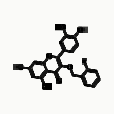 O=c1c(OCc2ccccc2F)c(-c2ccc(O)c(O)c2)oc2cc(O)cc(O)c12